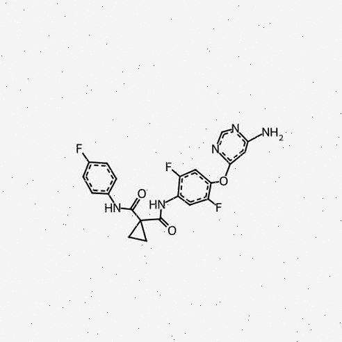 Nc1cc(Oc2cc(F)c(NC(=O)C3(C(=O)Nc4ccc(F)cc4)CC3)cc2F)ncn1